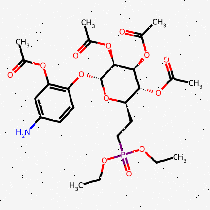 CCOP(=O)(CC[C@H]1O[C@H](Oc2ccc(N)cc2OC(C)=O)[C@@H](OC(C)=O)[C@@H](OC(C)=O)[C@@H]1OC(C)=O)OCC